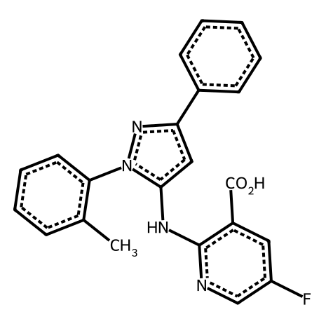 Cc1ccccc1-n1nc(-c2ccccc2)cc1Nc1ncc(F)cc1C(=O)O